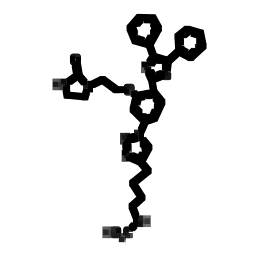 O=C(O)NCCCCc1cn(-c2ccc(-c3nc(-c4ccccc4)c(-c4ccccc4)s3)c(OCCN3CCNC3=O)c2)nn1